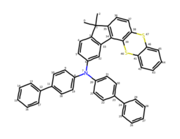 CC1(C)c2ccc(N(c3ccc(-c4ccccc4)cc3)c3ccc(-c4ccccc4)cc3)cc2-c2c1ccc1c2Sc2ccccc2S1